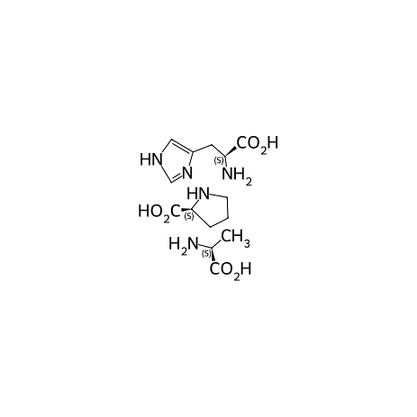 C[C@H](N)C(=O)O.N[C@@H](Cc1c[nH]cn1)C(=O)O.O=C(O)[C@@H]1CCCN1